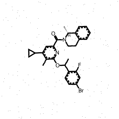 Cc1c(C2CC2)cc(C(=O)N2CCc3ccccc3[C@H]2C)nc1OC(C)c1ccc(Br)cc1F